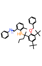 CCCC(C)(Pc1c(C)cccc1/C=N/c1ccccc1)c1cc(C(C)(C)C)cc(C(C)(C)C)c1OCc1ccccc1